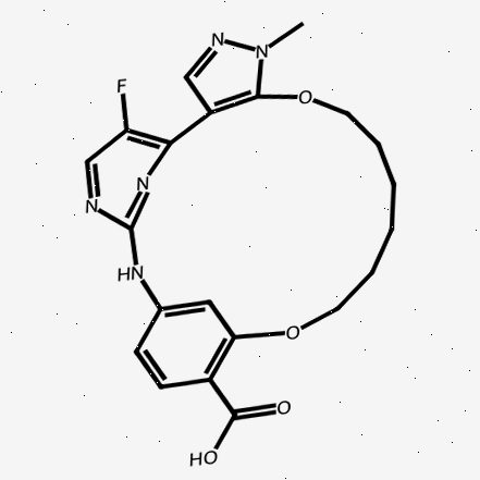 Cn1ncc2c1OCCCCCCOc1cc(ccc1C(=O)O)Nc1ncc(F)c-2n1